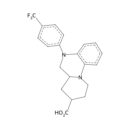 O=C(O)C1CCN2c3ccccc3N(c3ccc(C(F)(F)F)cc3)CC2C1